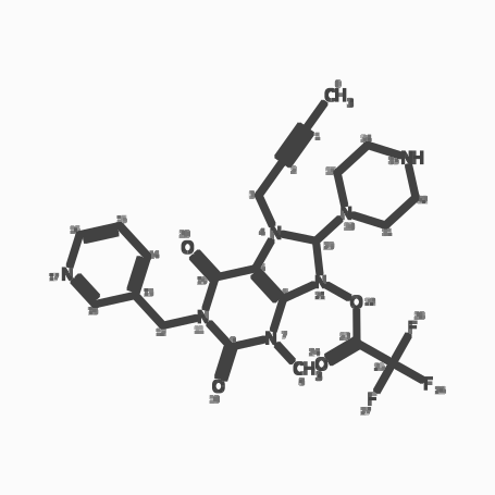 CC#CCN1c2c(n(C)c(=O)n(Cc3cccnc3)c2=O)N(OC(=O)C(F)(F)F)C1N1CCNCC1